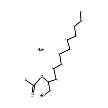 CCCCCCCCCCC(CO)OC(C)=O.[NaH]